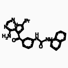 CC(C)c1cc(C(=O)c2cccc(NC(=O)Nc3cccc4ccccc34)c2)c2c(N)ncnn12